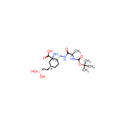 C[C@@H](NC(=O)OC(C)(C)C)C(=O)NC[C@@H]1CC[C@@H](CCB(O)O)C[C@]1(N)C(=O)O